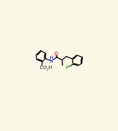 CC(Cc1ccccc1F)C(=O)Nc1ccccc1C(=O)O